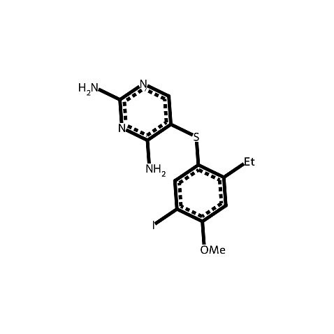 CCc1cc(OC)c(I)cc1Sc1cnc(N)nc1N